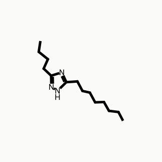 CCCCCCCCc1nc(CCCC)n[nH]1